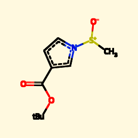 C[S+]([O-])n1ccc(C(=O)OC(C)(C)C)c1